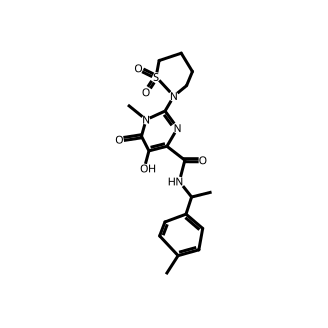 Cc1ccc(C(C)NC(=O)c2nc(N3CCCCS3(=O)=O)n(C)c(=O)c2O)cc1